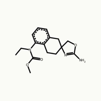 CCN(C(=O)OC)c1cccc2c1CCC1(COC(N)=N1)C2